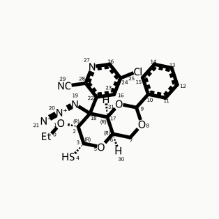 CCO[C@H]1[C@@H](S)O[C@@H]2COC(c3ccccc3)O[C@@H]2C1(N=[N+]=[N-])c1cc(Cl)cnc1C#N